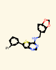 CC(C)c1cccc(-c2cc3ncnc(NCc4ccc5c(c4)OCO5)c3s2)c1